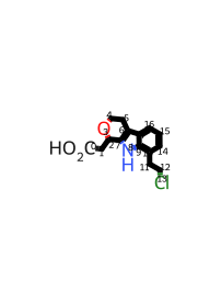 O=C(O)CC1OCCc2c1[nH]c1c(CCCl)cccc21